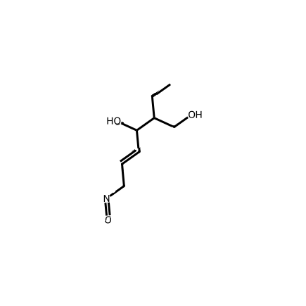 CCC(CO)C(O)/C=C/CN=O